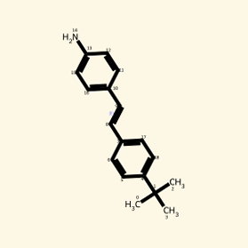 CC(C)(C)c1ccc(/C=C/c2ccc(N)cc2)cc1